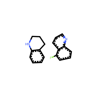 Fc1cccc2ncccc12.c1ccc2c(c1)CCCN2